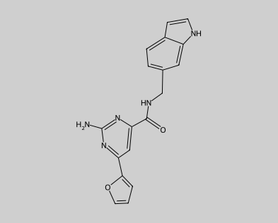 Nc1nc(C(=O)NCc2ccc3cc[nH]c3c2)cc(-c2ccco2)n1